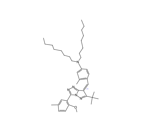 CCCCCCCCN(CCCCCCCC)c1ccc(/C=c2/c(C(C)(C)C)nn3c(-c4cc(C)ccc4OC)nnc23)c(C)c1